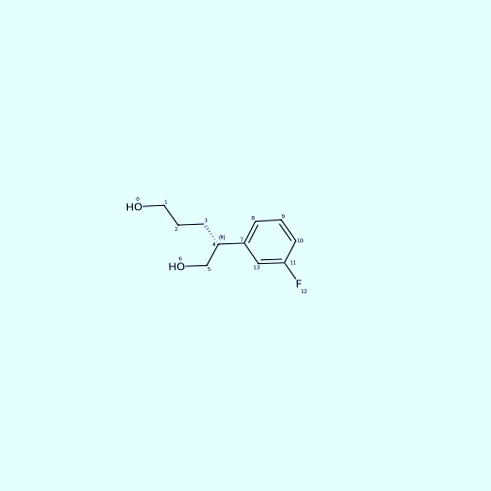 OCCC[C@@H](CO)c1cccc(F)c1